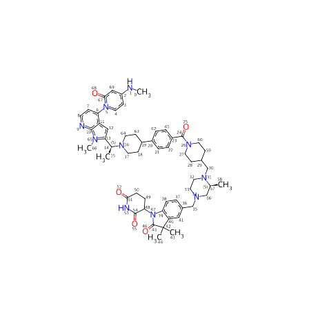 CNc1ccn(-c2ccnc3c2cc([C@H](C)N2CCC(c4ccc(C(=O)N5CCC(CN6CCN(Cc7ccc8c(c7)C(C)(C)C(=O)N8C7CCC(=O)NC7=O)C[C@@H]6C)CC5)cc4)CC2)n3C)c(=O)c1